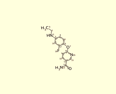 CCNc1ccc(Oc2ccc(C(N)=O)cn2)c(F)c1